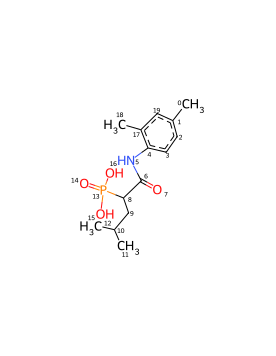 Cc1ccc(NC(=O)C(CC(C)C)P(=O)(O)O)c(C)c1